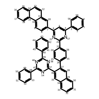 c1ccc(-c2cc(-c3ccc4c(ccc5ccccc54)c3)nc(-c3ccc(-c4cc5ccccc5cc4-c4nc(-c5ccccc5)nc(-c5ccccc5)n4)cc3)n2)cc1